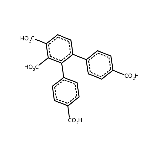 O=C(O)c1ccc(-c2ccc(C(=O)O)c(C(=O)O)c2-c2ccc(C(=O)O)cc2)cc1